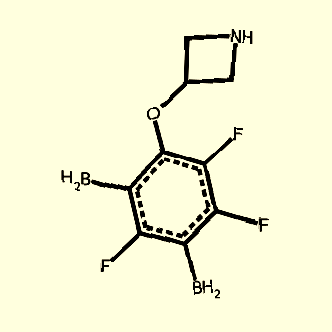 Bc1c(F)c(B)c(OC2CNC2)c(F)c1F